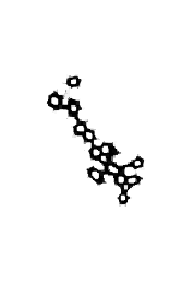 c1ccc(-c2c3cc4c5ccccc5c5cccc(c3c(-c3ccccc3)c3c6cccc7c(-c8ccc9cc(-c%10ccc%11c(c%10)c%10ccccc%10n%11-c%10ccccc%10)ccc9c8)ccc(c23)c76)c54)cc1